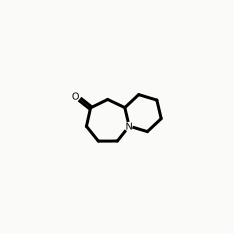 O=C1CCCN2CCCCC2C1